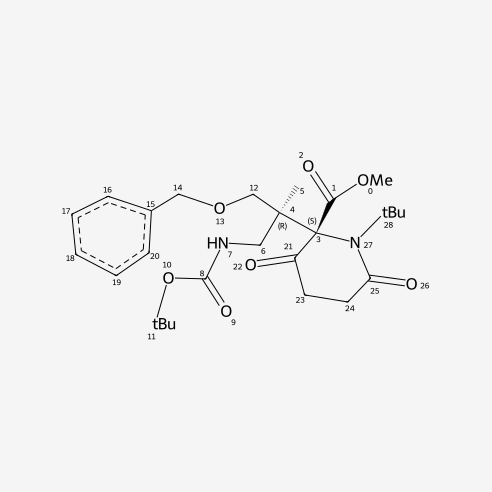 COC(=O)[C@]1([C@@](C)(CNC(=O)OC(C)(C)C)COCc2ccccc2)C(=O)CCC(=O)N1C(C)(C)C